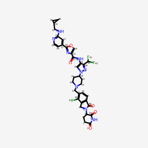 O=C1CCC(N2Cc3c(ccc(CN4CCC(n5cc(NC(=O)c6coc(-c7ccnc(NCC8CC8)c7)n6)c(C(F)F)n5)CC4)c3F)C2=O)C(=O)N1